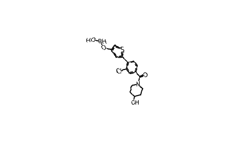 O=C(c1ccc(-c2cc(OBO)cs2)c(Cl)c1)N1CCC(O)CC1